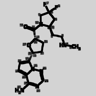 CNCC[C@@H]1CC(F)(F)CN1C(=O)[C@@H]1CC[C@H](c2ccc3c(N)ncnn23)O1